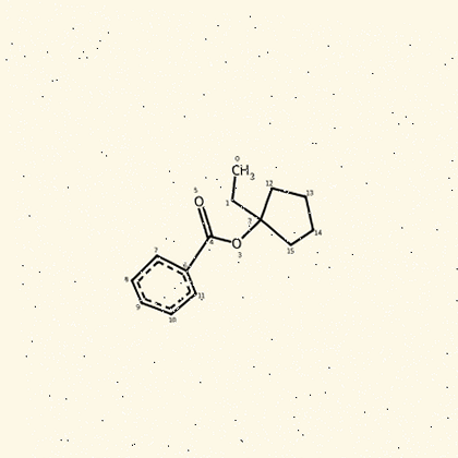 CCC1(OC(=O)c2ccccc2)CCCC1